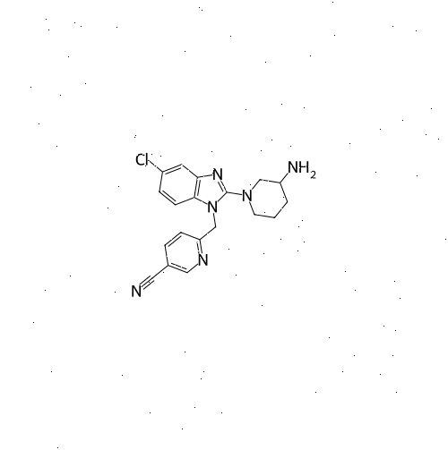 N#Cc1ccc(Cn2c(N3CCCC(N)C3)nc3cc(Cl)ccc32)nc1